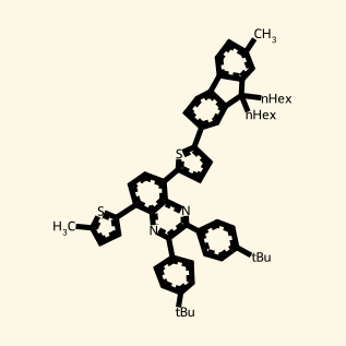 CCCCCCC1(CCCCCC)c2cc(C)ccc2-c2ccc(-c3ccc(-c4ccc(-c5ccc(C)s5)c5nc(-c6ccc(C(C)(C)C)cc6)c(-c6ccc(C(C)(C)C)cc6)nc45)s3)cc21